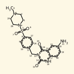 CN1CCN(S(=O)(=O)c2ccc(Cn3c(=O)[nH]c4ccc(N)cc4c3=O)cc2)CC1